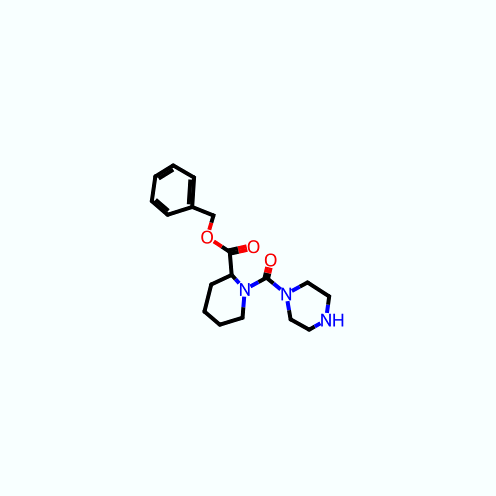 O=C(OCc1ccccc1)C1CCCCN1C(=O)N1CCNCC1